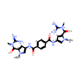 CCCCn1cc(NC(=O)c2ccc(C(=O)Nc3cc(C(=O)N(C)C(=N)N)n(CCCC)c3)cc2)cc1C(=O)N(C)C(=N)N